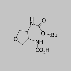 CC(C)(C)OC(=O)NC1COCC1NC(=O)O